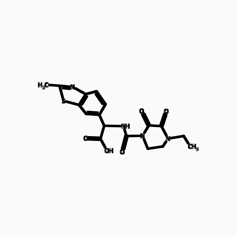 CCN1CCN(C(=O)NC(C(=O)O)c2ccc3nc(C)sc3c2)C(=O)C1=O